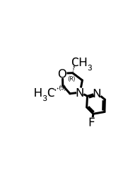 C[C@@H]1CN(c2cc(F)ccn2)C[C@H](C)O1